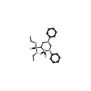 CCOP(=O)(OCC)C1CN(c2ccccc2)CN(c2ccccc2)S1(=O)=O